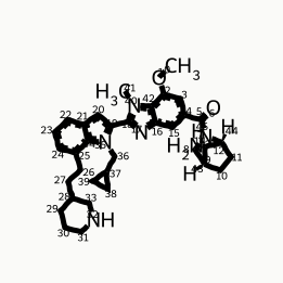 COc1cc(C(=O)N2C[C@H]3CC[C@@H]2[C@@H]3N)cc2nc(-c3cc4cccc(CCC5CCCNC5)c4n3CC3CC3)n(C)c12